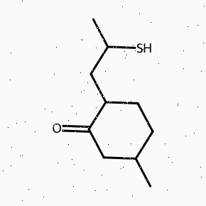 CC(S)CC1CCC(C)CC1=O